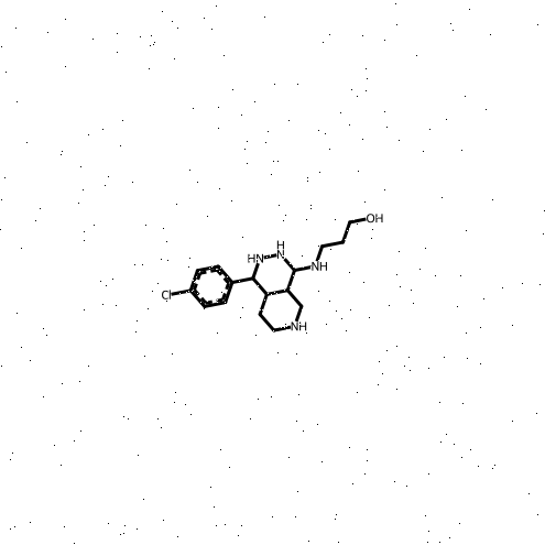 OCCCNC1NNC(c2ccc(Cl)cc2)C2CCNCC12